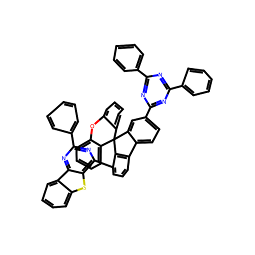 c1ccc(-c2nc(-c3ccccc3)nc(-c3ccc4c(c3)C3(c5ccccc5Oc5ccccc53)c3c-4cccc3-c3nc(-c4ccccc4)nc4c3sc3ccccc34)n2)cc1